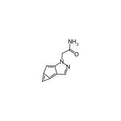 NC(=O)Cn1ncc2c3cc-3cc21